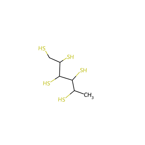 CC(S)C(S)C(S)C(S)CS